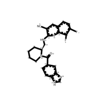 N#Cc1cc2ccc(F)c(F)c2nc1NC[C@@H]1CCCCN1C(=O)c1ccc2[nH]cnc2c1